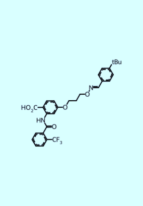 CC(C)(C)c1ccc(C=NOCCCOc2ccc(C(=O)O)c(NC(=O)c3ccccc3C(F)(F)F)c2)cc1